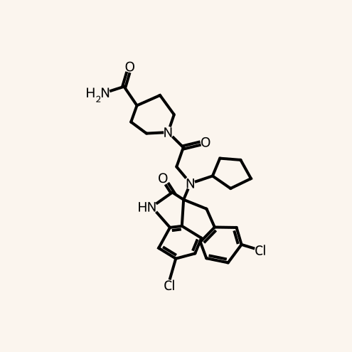 NC(=O)C1CCN(C(=O)CN(C2CCCC2)C2(Cc3cccc(Cl)c3)C(=O)Nc3cc(Cl)ccc32)CC1